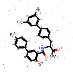 COC(=O)C(Cc1ccc(-c2cc(C(F)(F)F)cc(C(F)(F)F)c2)cc1)NC(=O)c1cc(-c2ccc(C(F)(F)F)cc2)ccc1O